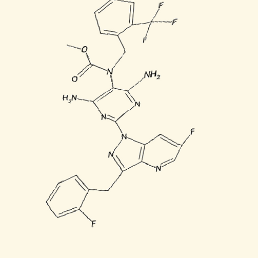 COC(=O)N(Cc1ccccc1C(F)(F)F)c1c(N)nc(-n2nc(Cc3ccccc3F)c3ncc(F)cc32)nc1N